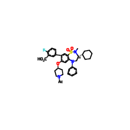 CC(=O)N1CCC(Oc2cc3c(cc2-c2ccc(F)c(C(=O)O)c2)S(=O)(=O)N(C)[C@H](C2CCCCC2)CN3c2ccccc2)CC1